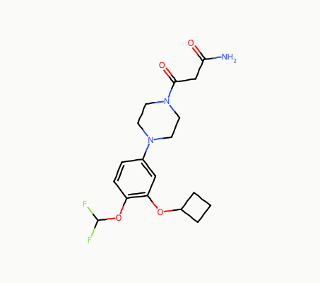 NC(=O)CC(=O)N1CCN(c2ccc(OC(F)F)c(OC3CCC3)c2)CC1